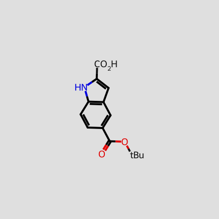 CC(C)(C)OC(=O)c1ccc2[nH]c(C(=O)O)cc2c1